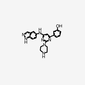 Oc1cccc(-c2cc(Nc3ccc4[nH]ncc4c3)nc(N3CCNCC3)n2)c1